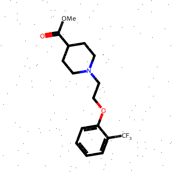 COC(=O)C1CCN(CCOc2ccccc2C(F)(F)F)CC1